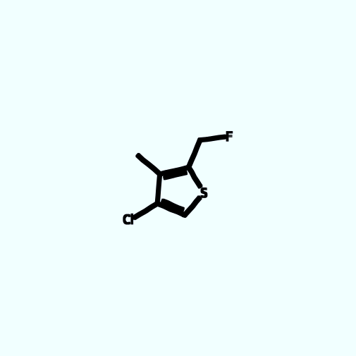 Cc1c(Cl)csc1CF